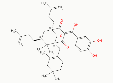 C=C(C)CC[C@H]1C[C@@]2(CCC(=C)C)C(=O)C(=C(O)c3ccc(O)c(O)c3)C(=O)[C@](CC3=C(C)CC(C)(C)CC3)(C2=O)C1(C)C